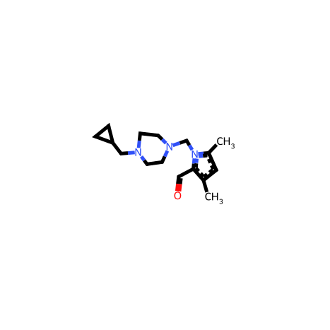 Cc1cc(C)n(CN2CCN(CC3CC3)CC2)c1C=O